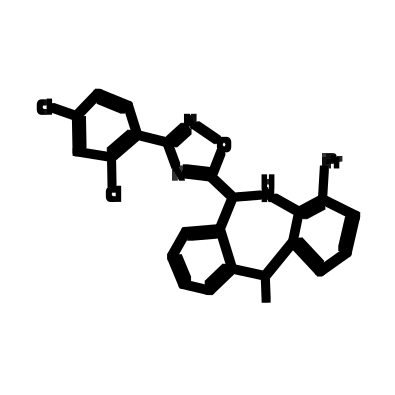 CC(C)c1cccc2c1NC(c1nc(-c3ccc(Cl)cc3Cl)no1)c1ccccc1C2C